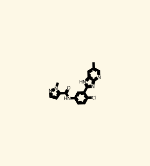 Cc1cnc2nc(-c3cc(NC(=O)c4ccnn4C)ccc3Cl)[nH]c2c1